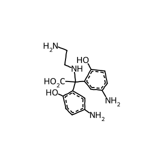 NCCNC(C(=O)O)(c1cc(N)ccc1O)c1cc(N)ccc1O